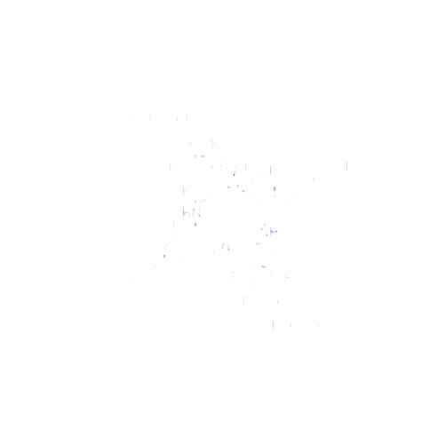 OCC(O)COc1c(F)c(F)c(-c2c3nc(c(-c4c(F)c(F)c(OCC(O)CO)c(F)c4F)c4ccc([nH]4)c(-c4c(F)c(F)c(OCC(O)CO)c(F)c4F)c4nc(c(-c5c(F)c(F)c(OCC(O)CO)c(F)c5F)c5ccc2[nH]5)[C@@H](O)[C@@H]4O)C=C3)c(F)c1F